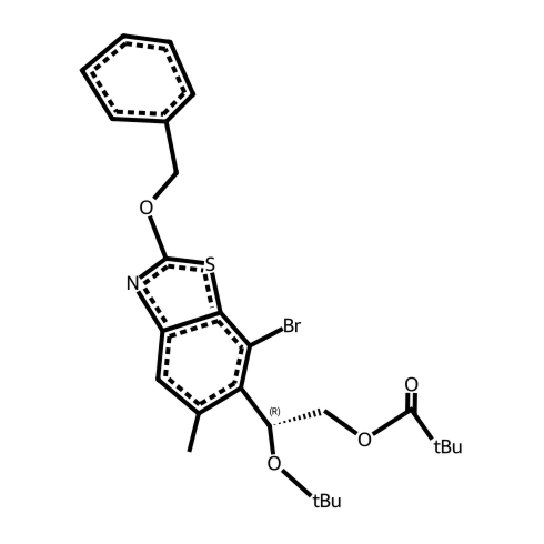 Cc1cc2nc(OCc3ccccc3)sc2c(Br)c1[C@H](COC(=O)C(C)(C)C)OC(C)(C)C